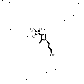 NS(=O)(=O)C1CN(CCCO)C1I